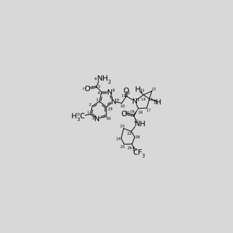 Cc1cc2c(C(N)=O)nn(CC(=O)N3[C@@H]4C[C@@H]4C[C@H]3C(=O)NC3CCC[C@H](C(F)(F)F)C3)c2cn1